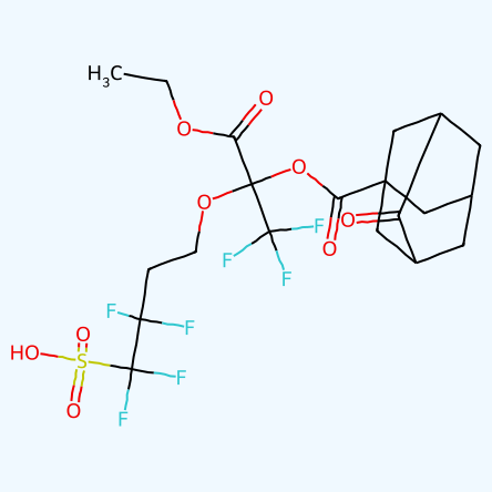 CCOC(=O)C(OCCC(F)(F)C(F)(F)S(=O)(=O)O)(OC(=O)C12CC3CC(C1)C(=O)C(C3)C2)C(F)(F)F